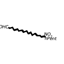 CCCCCC(=CCC=CCC=CCC=CCC=CCC[C]=O)[N+](=O)[O-]